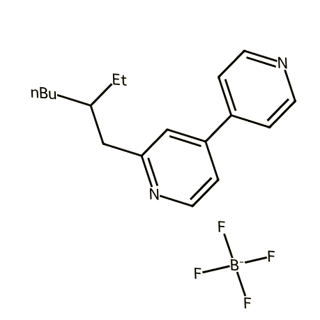 CCCCC(CC)Cc1cc(-c2ccncc2)ccn1.F[B-](F)(F)F